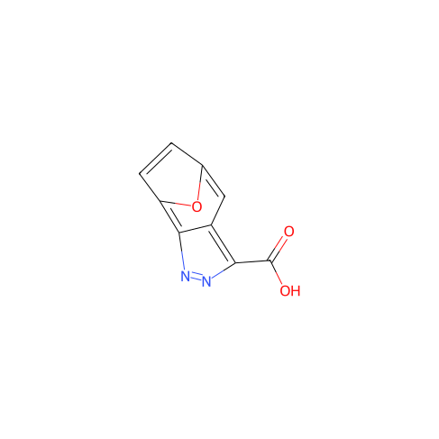 O=C(O)c1nnc2c3ccc(cc1-2)o3